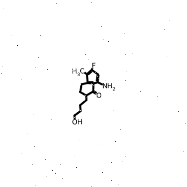 Cc1c(F)cc(N)c2c1CCC(CCCCO)C2=O